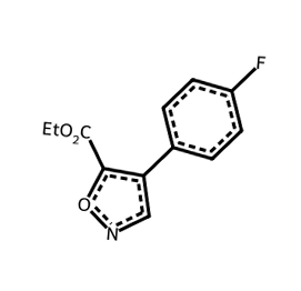 CCOC(=O)c1oncc1-c1ccc(F)cc1